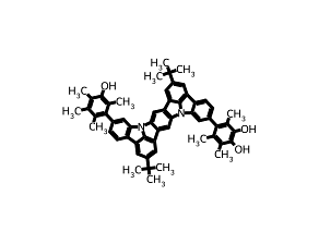 Cc1c(C)c(O)c(C)c(-c2ccc3c4cc(C(C)(C)C)cc5c6cc7c(cc6n(c3c2)c45)c2cc(C(C)(C)C)cc3c4ccc(-c5c(C)c(C)c(O)c(O)c5C)cc4n7c32)c1C